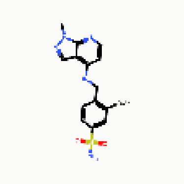 COc1cc(S(N)(=O)=O)ccc1CNc1ccnc2c1cnn2C